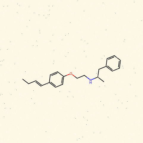 CCC=Cc1ccc(OCCNC(C)Cc2ccccc2)cc1